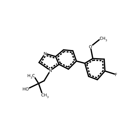 COc1cc(F)ccc1-c1ccc2ncn(CC(C)(C)O)c2c1